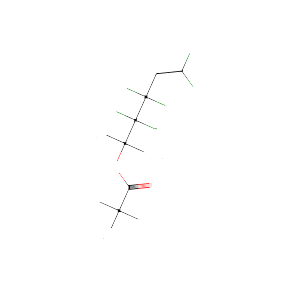 CCC(C)(C(=O)OC(C)(C)C(F)(F)C(F)(F)CC(F)F)C(F)(F)F